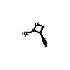 CC1OCC1C#N